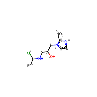 CC(C)C(Cl)NCC(O)Cn1ccnc1[N+](=O)[O-]